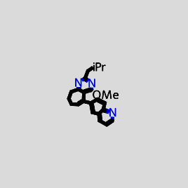 COc1nc(CC(C)C)nc2c1C(c1ccc3ncccc3c1)=CCCC2